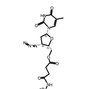 CCCCNC(=O)CCC(=O)OC[C@H]1O[C@@H](n2cc(C)c(=O)[nH]c2=O)C[C@H]1N=[N+]=[N-]